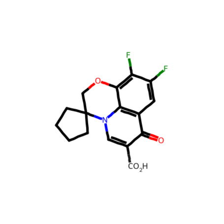 O=C(O)c1cn2c3c(c(F)c(F)cc3c1=O)OCC21CCCC1